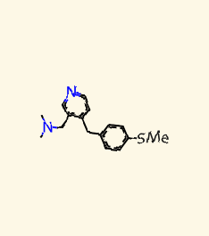 CSc1ccc(Cc2ccncc2CN(C)C)cc1